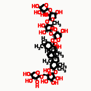 C[C@@H]1O[C@@H](O[C@H]2[C@H](OC(=O)[C@]34CCC(C)(C)C[C@H]3C3=CCC5[C@@]6(C)C[C@H](O)[C@H](O[C@@H]7O[C@H](CO[C@@H]8OC[C@H](O)[C@H](O)[C@H]8O)[C@@H](O)[C@H](O)[C@H]7O)C(C)(C)C6CC[C@@]5(C)[C@]3(C)C[C@H]4O)OC[C@@H](O)[C@@H]2O)[C@H](O)[C@H](O)[C@H]1O[C@@H]1OC[C@H](O)[C@H](O[C@@H]2OC[C@@H](O)[C@H](O)[C@H]2O)[C@H]1O